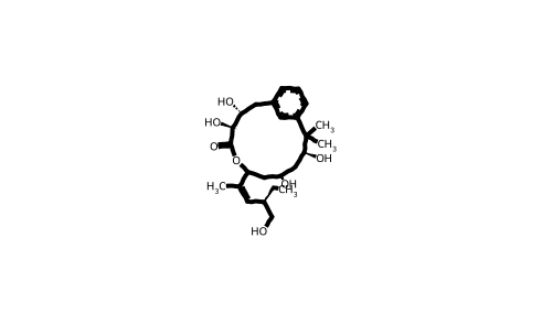 CC[C@H](/C=C(/C)C1C[C@@H](O)C[C@H](O)C(C)(C)c2cccc(c2)C[C@@H](O)[C@H](O)C(=O)O1)CO